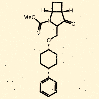 COC(=O)N1C(CO[C@H]2CC[C@@H](c3ccccc3)CC2)C(=O)[C@H]2CC[C@H]21